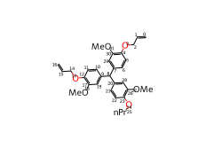 C=CCOc1ccc(C(c2ccc(OCC=C)c(OC)c2)c2ccc(OCCC)c(OC)c2)cc1OC